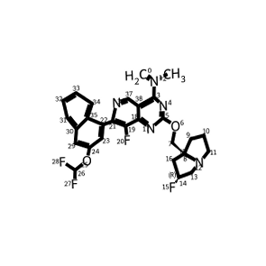 C=[N+](C)c1nc(OC[C@@]23CCCN2C[C@H](F)C3)nc2c(F)c(-c3cc(OC(F)F)cc4ccccc34)ncc12